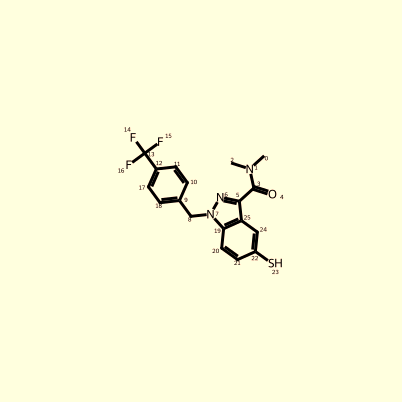 CN(C)C(=O)c1nn(Cc2ccc(C(F)(F)F)cc2)c2ccc(S)cc12